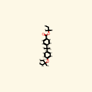 CCC(C)(C)OC(=O)c1ccc(C(C)(C)c2ccc(OC(C)(CC)CC)cc2)cc1